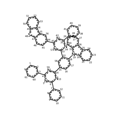 c1ccc(-c2nc(-c3ccccc3)nc(-c3ccc(-n4c5ccccc5c5ccccc54)c(-c4nc(-c5ccccc5)nc(-c5ccc6sc7ccccc7c6c5)n4)c3)n2)cc1